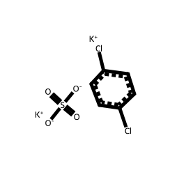 Clc1ccc(Cl)cc1.O=S(=O)([O-])[O-].[K+].[K+]